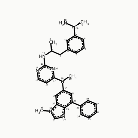 CC(Cc1cccc([C@H](C)N)c1)Nc1nccc(N(C)c2cc(-c3ccccc3)c3ncn(C)c3c2)n1